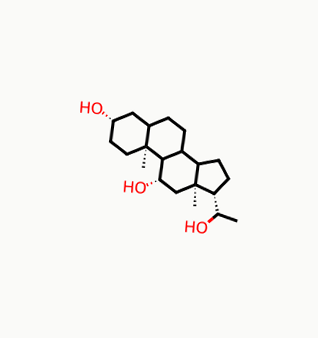 CC(O)[C@H]1CCC2C3CCC4C[C@@H](O)CC[C@]4(C)C3[C@@H](O)C[C@@]21C